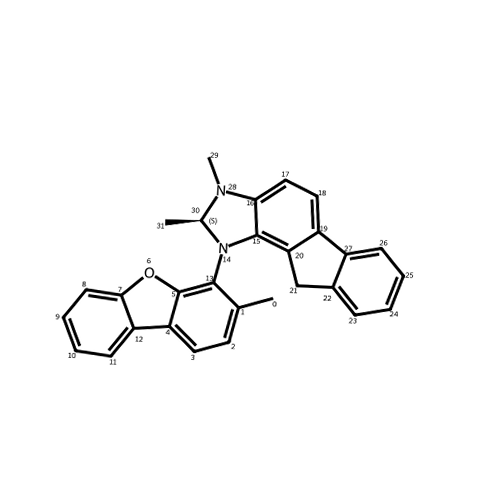 Cc1ccc2c(oc3ccccc32)c1N1c2c(ccc3c2Cc2ccccc2-3)N(C)[C@@H]1C